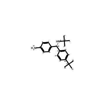 CC(C)(C)N[C@@H](c1ccc(N)cc1)c1ccc(C(C)(C)C)cc1